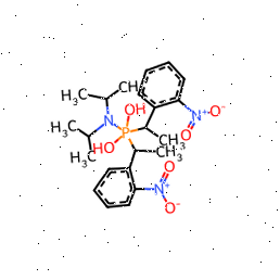 CC(C)N(C(C)C)P(O)(O)(C(C)c1ccccc1[N+](=O)[O-])C(C)c1ccccc1[N+](=O)[O-]